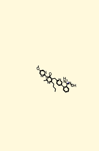 CCCCc1nc(C)n(-c2ncc(OC)cn2)c(=O)c1Cc1ccc(-c2ccccc2/C(N)=N\O)cn1